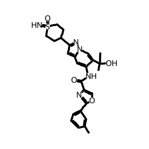 Cc1cccc(-c2nc(C(=O)Nc3cc4cc(C5CCS(=N)(=O)CC5)nn4cc3C(C)(C)O)co2)c1